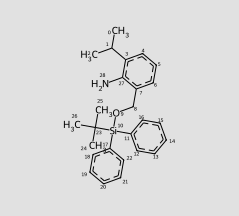 CC(C)c1cccc(CO[Si](c2ccccc2)(c2ccccc2)C(C)(C)C)c1N